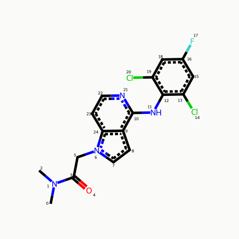 CN(C)C(=O)Cn1ccc2c(Nc3c(Cl)cc(F)cc3Cl)nccc21